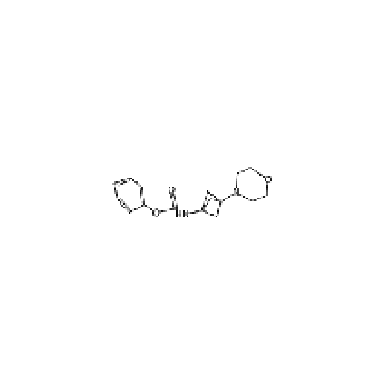 O=C(NC12CC(N3CCOCC3)(C1)C2)Oc1ccccc1